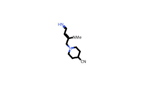 CN/C(=C\C=N)CN1CCC(C#N)CC1